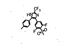 Cc1ccc(-c2[nH]c(C(F)(F)F)nc2-c2cc(F)c(S(C)(=O)=O)c(F)c2)cc1